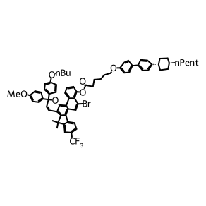 CCCCC[C@H]1CC[C@H](c2ccc(-c3ccc(OCCCCCC(=O)Oc4cccc5c4c(Br)cc4c6c(c7c(c45)OC(c4ccc(OC)cc4)(c4ccc(OCCCC)cc4)C=C7)C(C)(C)c4cc(C(F)(F)F)ccc4-6)cc3)cc2)CC1